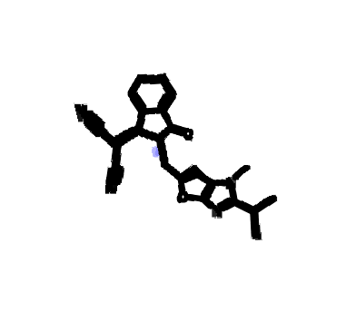 CC(C)c1nc2oc(/C=C3\C(=O)c4ccccc4C3=C(C#N)C#N)cc2n1C